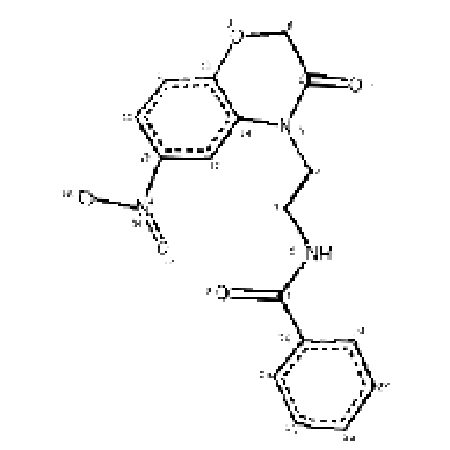 O=C(NCCN1C(=O)COc2ccc([N+](=O)[O-])cc21)c1ccccc1